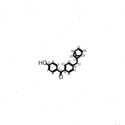 O=C(c1ccc(O)cc1)c1ccc(CC2CC3C=CC2C3)cc1